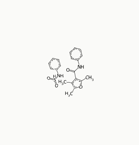 Cc1oc(C)c(C(=O)Nc2ccccc2)c1C.O=[SH](=O)Nc1ccccc1